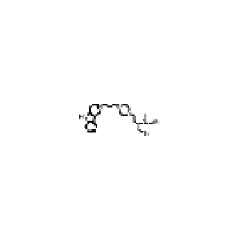 CC(C)CNC(CCN1CCN(CCCN2CCc3[nH]c4ccccc4c3C2)CC1)CC(C)C